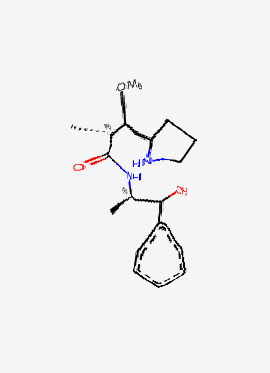 COC(C1CCCN1)[C@@H](C)C(=O)N[C@H](C)C(O)c1ccccc1